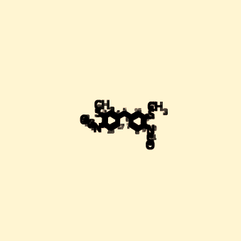 CSc1cc(Cc2ccc(N=C=O)c(SC)c2)ccc1N=C=O